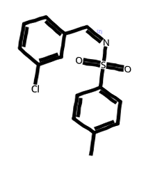 Cc1ccc(S(=O)(=O)/N=C\c2cccc(Cl)c2)cc1